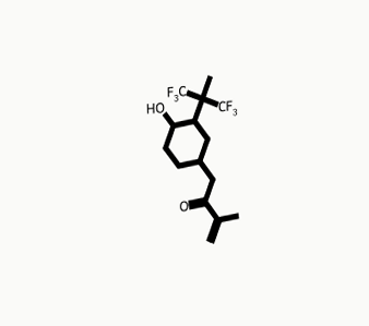 C=C(C)C(=O)CC1CCC(O)C(C(C)(C(F)(F)F)C(F)(F)F)C1